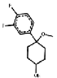 COC1(c2ccc(F)c(F)c2)CCC(O)CC1